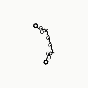 CC(C)(CCCOCCCOCCCC(C)(C)CC(=O)OCc1ccccc1)CC(=O)OCc1ccccc1